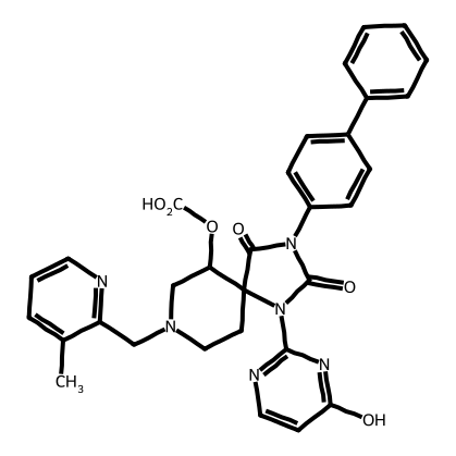 Cc1cccnc1CN1CCC2(C(=O)N(c3ccc(-c4ccccc4)cc3)C(=O)N2c2nccc(O)n2)C(OC(=O)O)C1